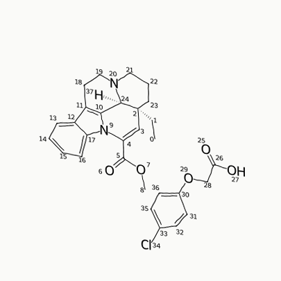 CC[C@@]12C=C(C(=O)OC)n3c4c(c5ccccc53)CCN(CCC1)[C@H]42.O=C(O)COc1ccc(Cl)cc1